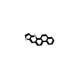 c1ccc2c(c1)ccc1c2ccc2cc3occc3nc21